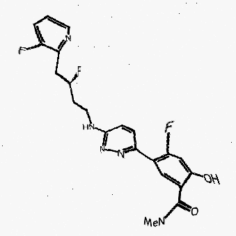 CNC(=O)c1cc(-c2ccc(NCC[C@H](F)Cc3ncccc3F)nn2)c(F)cc1O